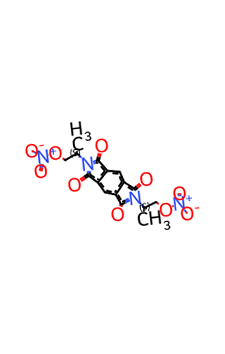 C[C@@H](CO[N+](=O)[O-])n1c(=O)c2cc3c(=O)n([C@@H](C)CO[N+](=O)[O-])c(=O)c3cc2c1=O